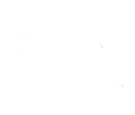 CC(CS(C)(=O)=O)c1cc(-c2cccc(C=O)c2)c2ncccc2c1